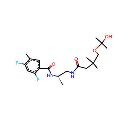 Cc1cc(C(=O)N[C@@H](C)CNC(=O)CC(C)(C)COC(C)(C)O)c(F)cc1F